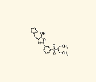 CCN(CC)S(=O)(=O)c1cccc(C2=N/C(=C/c3cccs3)C(O)O2)c1